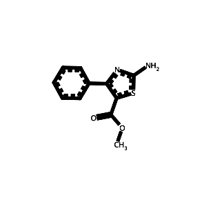 COC(=O)c1sc(N)nc1-c1ccccc1